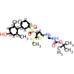 CSc1sc(/N=C/NC(=O)OC(C)(C)C)cc1S(=O)(=O)c1cccc(-c2c(C)cc(O)cc2C)c1